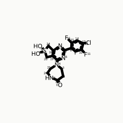 O=C1CCN(c2nc(-c3cc(F)c(Cl)cc3F)nc3c2CS(O)(O)C3)CCN1